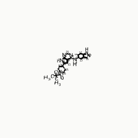 CC(C)(C)C(=O)N1CC=C(c2cc3c(Nc4ccc5[nH]ncc5c4)ncnc3[nH]2)CC1